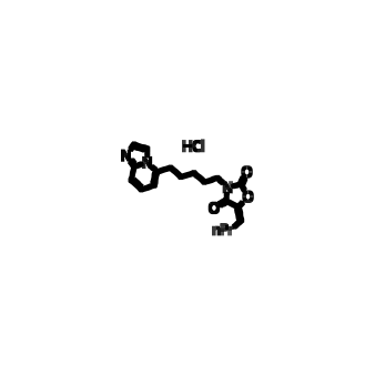 CCC/C=C1/OC(=O)N(CCCCCc2cccc3nccn23)C1=O.Cl